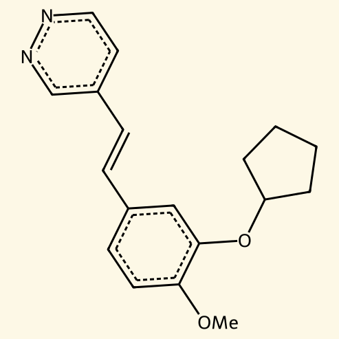 COc1ccc(C=Cc2ccnnc2)cc1OC1CCCC1